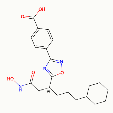 O=C(C[C@@H](CCCC1CCCCC1)c1nc(-c2ccc(C(=O)O)cc2)no1)NO